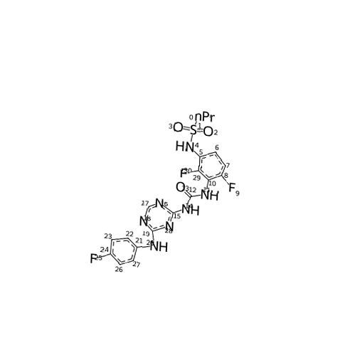 CCCS(=O)(=O)Nc1ccc(F)c(NC(=O)Nc2ncnc(Nc3ccc(F)cc3)n2)c1F